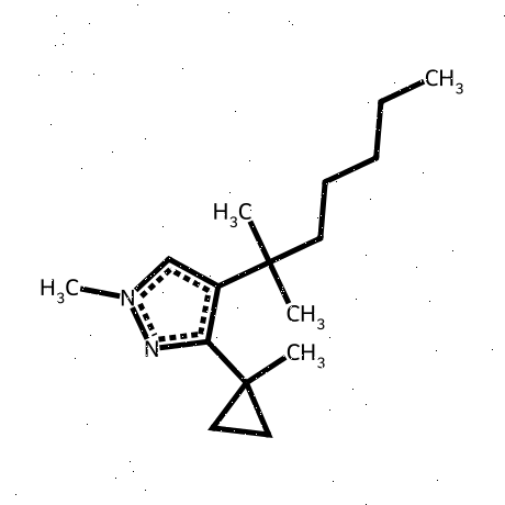 CCCCCC(C)(C)c1cn(C)nc1C1(C)CC1